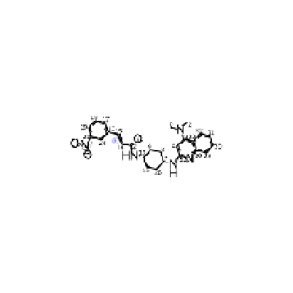 CN(C)c1cc(N[C@H]2CC[C@@H](NC(=O)/C=C/c3cccc([N+](=O)[O-])c3)CC2)nc2ccccc12